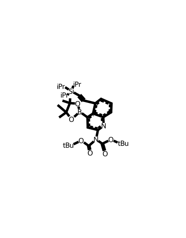 CC(C)[Si](C#Cc1cccc2nc(N(C(=O)OC(C)(C)C)C(=O)OC(C)(C)C)cc(B3OC(C)(C)C(C)(C)O3)c12)(C(C)C)C(C)C